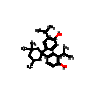 CC1CC(C)(C)CC(c2ccc(O)c(C(C)C)c2)(c2ccc(O)c(C(C)C)c2)C1